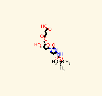 CC(C)(C)OC(=O)Nc1ccn(C2C[C@H](CO)[C@@H](COC(=O)CCC(=O)O)O2)c(=O)n1